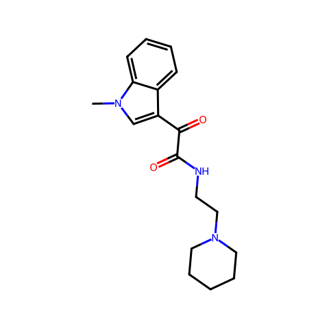 Cn1cc(C(=O)C(=O)NCCN2CCCCC2)c2ccccc21